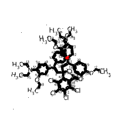 CCOc1ccc(/C(=C\C2(/C=C(\c3ccc(OCC)cc3)c3ccc(N(CC)CC)c(OCC)c3)OC(=O)c3c(Cl)c(Cl)c(Cl)c(Cl)c32)c2ccc(N(CC)CC)c(OCC)c2)cc1